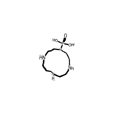 O=P(O)(O)N1CCNCCNCCNCC1